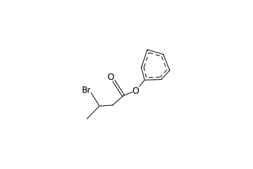 CC(Br)CC(=O)Oc1ccccc1